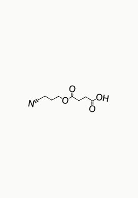 N#CCCCOC(=O)CCC(=O)O